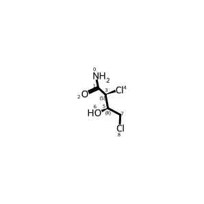 NC(=O)[C@@H](Cl)[C@H](O)CCl